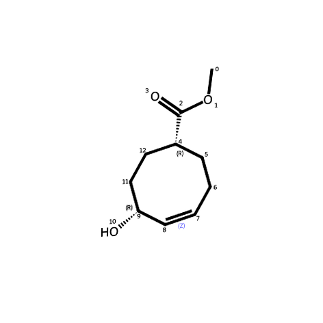 COC(=O)[C@@H]1CC/C=C\[C@H](O)CC1